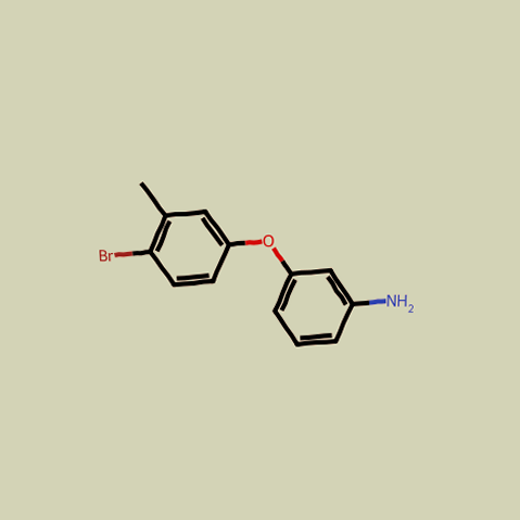 Cc1cc(Oc2cccc(N)c2)ccc1Br